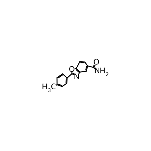 Cc1ccc(-c2nc3cc(C(N)=O)ccc3o2)cc1